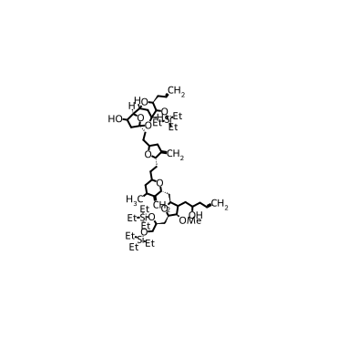 C=CCC(O)CC1[C@H](C[C@H]2OC(CC[C@@H]3OC(CC[C@]45CC(O)[C@H](O4)[C@H]4C[C@@H](O5)C(O[Si](CC)(CC)CC)[C@H](CC=C)O4)CC3=C)CC(C)C2=C)O[C@H](C[C@@H](CO[Si](CC)(CC)CC)O[Si](CC)(CC)CC)[C@@H]1OC